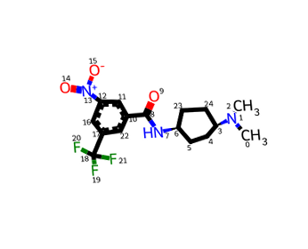 CN(C)[C@H]1CC[C@@H](NC(=O)c2cc([N+](=O)[O-])cc(C(F)(F)F)c2)CC1